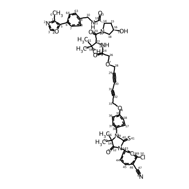 Cc1ncoc1-c1ccc(CNC(=O)[C@@H]2C[C@@H](O)CN2C(=O)[C@@H](NC(=O)COCC#CC#CCOc2ccc(N3C(=S)N(c4ccc(C#N)c(Cl)c4)C(=O)C3(C)C)cc2)C(C)(C)C)cc1